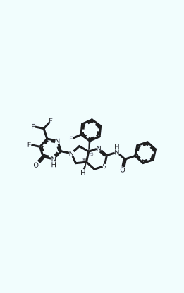 O=C(NC1=N[C@@]2(c3ccccc3F)CN(c3nc(C(F)F)c(F)c(=O)[nH]3)C[C@H]2CS1)c1ccccc1